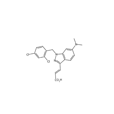 CN(C)c1ccc2c(C=CC(=O)O)nn(Cc3ccc(Cl)cc3Cl)c2c1